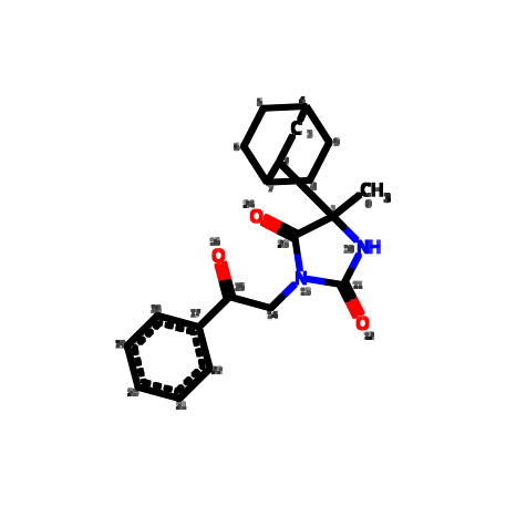 CC1(C2CC3CCC2CC3)NC(=O)N(CC(=O)c2ccccc2)C1=O